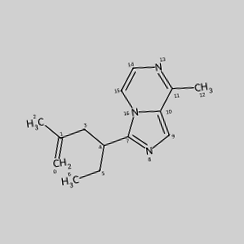 C=C(C)CC(CC)c1ncc2c(C)nccn12